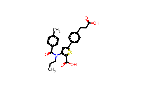 CCCN(C(=O)c1ccc(C)cc1)c1cc(-c2ccc(CCC(=O)O)cc2)sc1C(=O)O